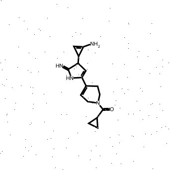 N=C1NC(C2=CCN(C(=O)C3CC3)CC2)=CC1C1C=C1N